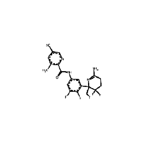 Cc1cc(C#N)cnc1C(=O)Nc1cc(F)c(F)c(C2(CF)N=C(N)CCC2(F)F)c1